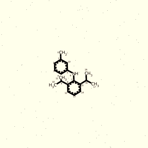 [CH2]c1cccc(Nc2c(C(C)C)cccc2C(C)C)c1